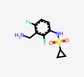 NCc1c(F)ccc(NS(=O)(=O)C2CC2)c1F